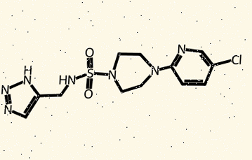 O=S(=O)(NCc1cnn[nH]1)N1CCN(c2ccc(Cl)cn2)CC1